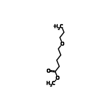 [CH2]CCOCCCCC(=O)OC